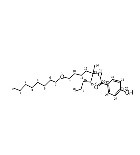 CCCCCCCCOCCCCC(C)(CCCC)OC(=O)c1ccc(O)cc1